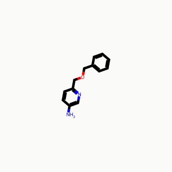 Nc1ccc(COCc2ccccc2)nc1